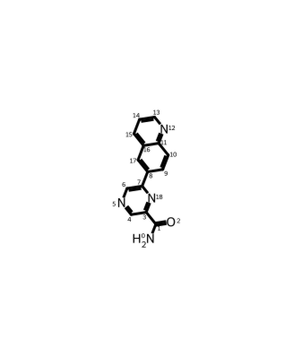 NC(=O)c1cncc(-c2ccc3ncccc3c2)n1